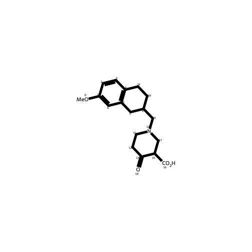 COc1ccc2c(c1)CC(CN1CCC(=O)C(C(=O)O)C1)CC2